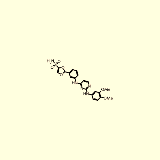 COc1ccc(Nc2nccc(Nc3cccc(C4OC=C(S(N)(=O)=O)O4)c3)n2)cc1OC